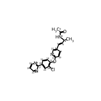 CC(=O)N[C@@H](C)/C=C/c1ccc(Oc2ccc(-c3ncccn3)cc2Cl)nc1